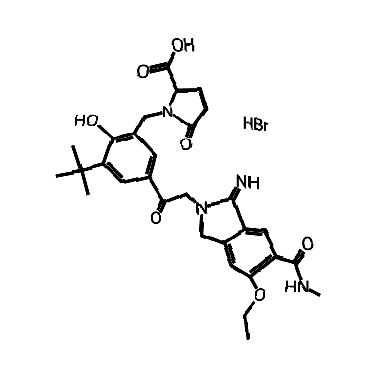 Br.CCOc1cc2c(cc1C(=O)NC)C(=N)N(CC(=O)c1cc(CN3C(=O)CCC3C(=O)O)c(O)c(C(C)(C)C)c1)C2